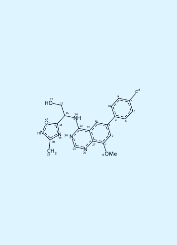 COc1cc(-c2ccc(F)cc2)cc2c(NC(CO)c3nc(C)no3)ncnc12